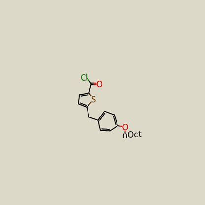 CCCCCCCCOc1ccc(Cc2ccc(C(=O)Cl)s2)cc1